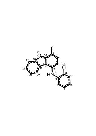 Cc1ccc(Nc2ccccc2Cl)c2c1oc1ccccc12